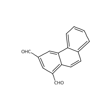 O=Cc1cc(C=O)c2ccc3ccccc3c2c1